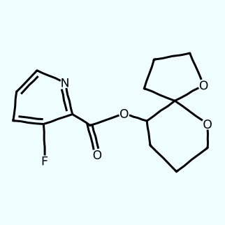 O=C(OC1CCCOC12CCCO2)c1ncccc1F